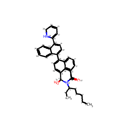 CCCCCC(CC)N1C(=O)c2cccc3c(-c4ccc(C5=CC=CCN5)c5ccccc45)ccc(c23)C1O